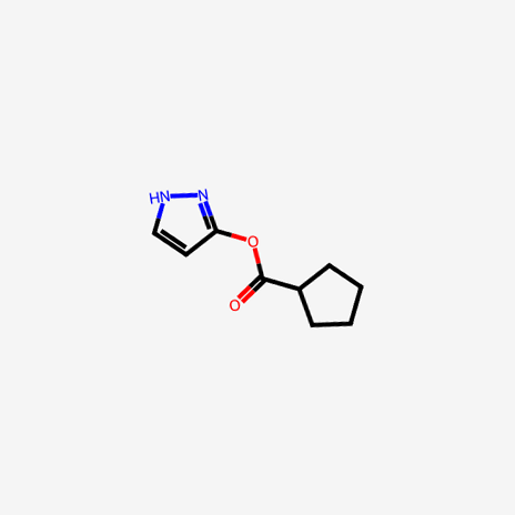 O=C(Oc1cc[nH]n1)C1CCCC1